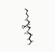 CCCCSC[S+]([O-])CSCCCC